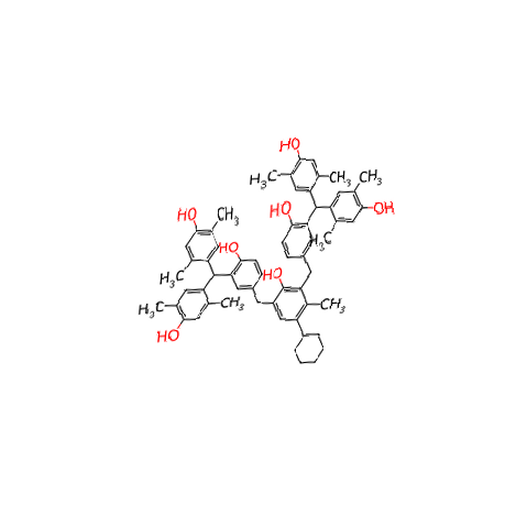 Cc1cc(C(c2cc(C)c(O)cc2C)c2cc(Cc3cc(C4CCCCC4)c(C)c(Cc4ccc(O)c(C(c5cc(C)c(O)cc5C)c5cc(C)c(O)cc5C)c4)c3O)ccc2O)c(C)cc1O